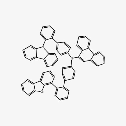 c1ccc(-c2cccc3c2oc2ccccc23)c(-c2ccc(N(c3ccc(-c4ccccc4-n4c5ccccc5c5ccccc54)cc3)c3cc4ccccc4c4ccccc34)cc2)c1